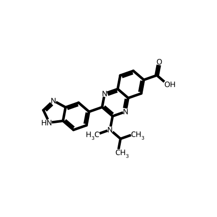 CC(C)N(C)c1nc2cc(C(=O)O)ccc2nc1-c1ccc2[nH]cnc2c1